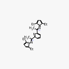 CCc1ccc(CC)n1/N=C(\C)c1cccc(/C(C)=N/n2c(CC)ccc2CC)n1